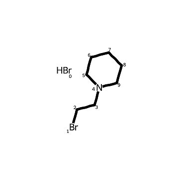 Br.BrCCN1CCCCC1